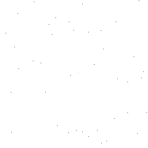 C=C1C[C@H]2[C@@H](CC1Cl)C2(C)C